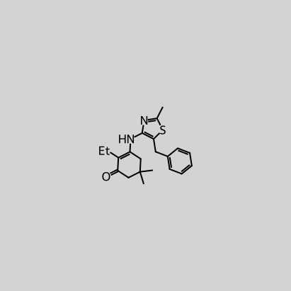 CCC1=C(Nc2nc(C)sc2Cc2ccccc2)CC(C)(C)CC1=O